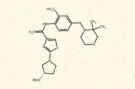 C=C(Nc1ccc(CN2CCOCC2(C)C)cc1C(=O)O)c1csc(N2CC[C@H](OC)C2)n1